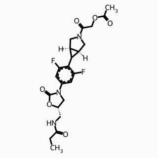 CCC(=O)NC[C@H]1CN(c2cc(F)c(C3[C@H]4CN(C(=O)COC(C)=O)C[C@@H]34)c(F)c2)C(=O)O1